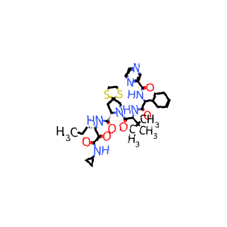 CCC[C@H](NC(=O)[C@@H]1CC2(CN1C(=O)[C@@H](NC(=O)[C@@H](NC(=O)c1cnccn1)C1CCCCC1)C(C)(C)C)SCCS2)C(=O)C(=O)NC1CC1